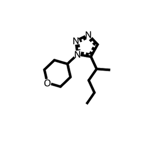 CCCC(C)c1cnnn1C1CCOCC1